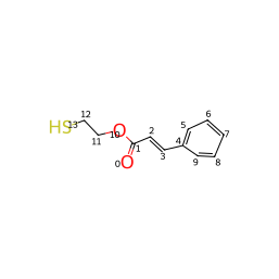 O=C(C=Cc1ccccc1)OCCS